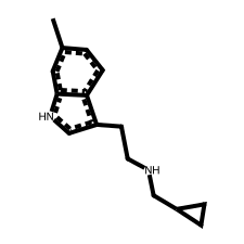 Cc1ccc2c(CCNCC3CC3)c[nH]c2c1